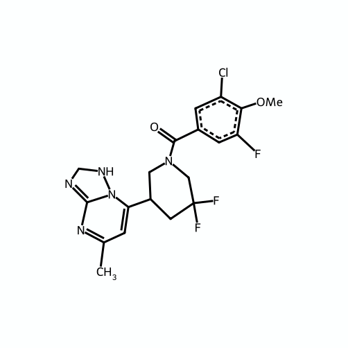 COc1c(F)cc(C(=O)N2CC(C3=CC(C)=NC4=NCNN34)CC(F)(F)C2)cc1Cl